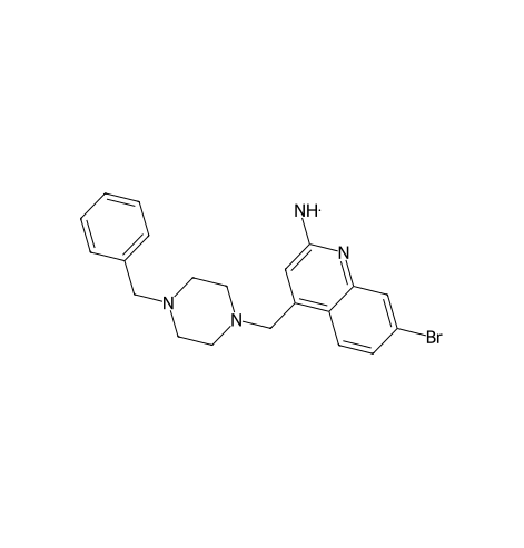 [NH]c1cc(CN2CCN(Cc3ccccc3)CC2)c2ccc(Br)cc2n1